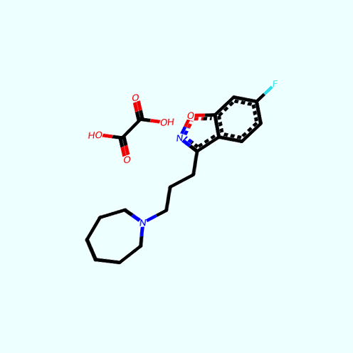 Fc1ccc2c(CCCN3CCCCCC3)noc2c1.O=C(O)C(=O)O